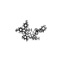 N[C@H](C(=O)Nc1cncc(F)c1CC[C@@H]1CNC[C@@H](COC(=O)NCC2CCCCC2)O1)C(c1ccc(F)cc1)c1ccc(F)cc1